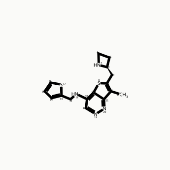 Cc1c(C[C@@H]2CCN2)sc2c(NCc3cccs3)cnnc12